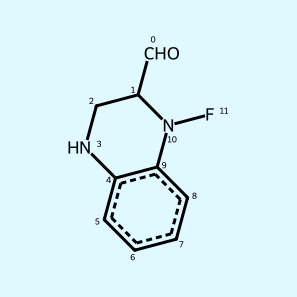 O=CC1CNc2ccccc2N1F